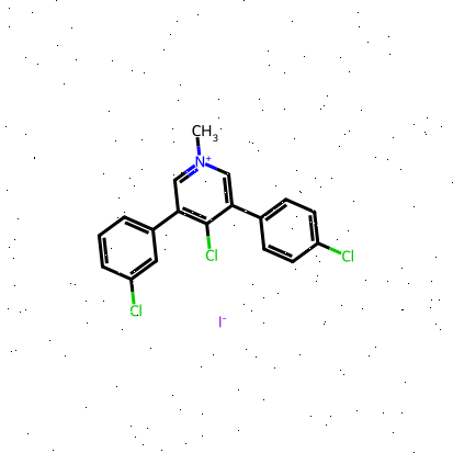 C[n+]1cc(-c2ccc(Cl)cc2)c(Cl)c(-c2cccc(Cl)c2)c1.[I-]